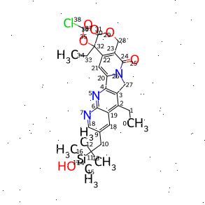 CCc1c2c(nc3ncc(CC(C)(C)[Si](C)(C)O)cc13)-c1cc3c(c(=O)n1C2)COC(=O)C3(CC)OC(=O)Cl